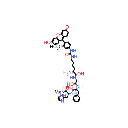 CN[C@@H](O)[C@H](Cc1ncc[nH]1)N[C@H](O)[C@H](Cc1ccccc1)N[C@@H](O)CN[C@H](O)[C@H](N)CCCCNC(=O)Nc1ccc(-c2c3ccc(=O)cc-3oc3cc(O)ccc23)c(C(=O)O)c1